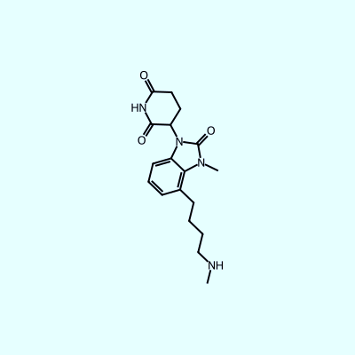 CNCCCCc1cccc2c1n(C)c(=O)n2C1CCC(=O)NC1=O